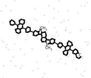 Cn1c2cc(-c3ccc(-c4c5ccccc5c(-c5ccccc5)c5ccccc45)cc3)ccc2c2c3ccc4c(c3ccc21)c1ccc(-c2ccc(-c3c5ccccc5c(-c5ccc6ccccc6c5)c5ccccc35)cc2)cc1n4C